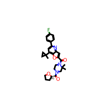 CC1(c2cc(-c3ccc(F)cc3)nc3cc(C(=O)N4CCN(C(=O)[C@H]5CCCO5)CC4(C)C)oc23)CC1